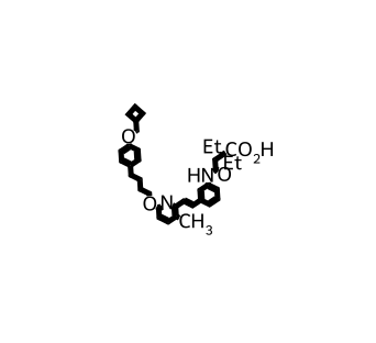 CCC(CC)(CC(=O)Nc1cccc(C=Cc2nc(OCCCCc3ccc(OCC4CCC4)cc3)ccc2C)c1)C(=O)O